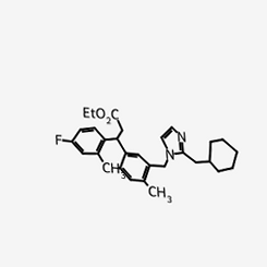 CCOC(=O)CC(c1ccc(C)c(Cn2ccnc2CC2CCCCC2)c1)c1ccc(F)cc1C